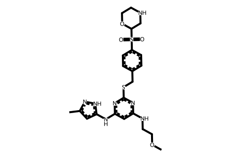 COCCNc1cc(Nc2cc(C)n[nH]2)nc(SCc2ccc(S(=O)(=O)C3CNCCO3)cc2)n1